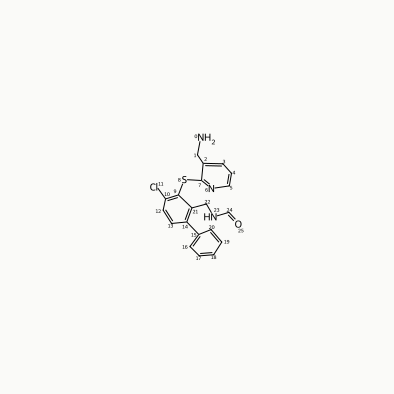 NCc1cccnc1Sc1c(Cl)ccc(-c2ccccc2)c1CNC=O